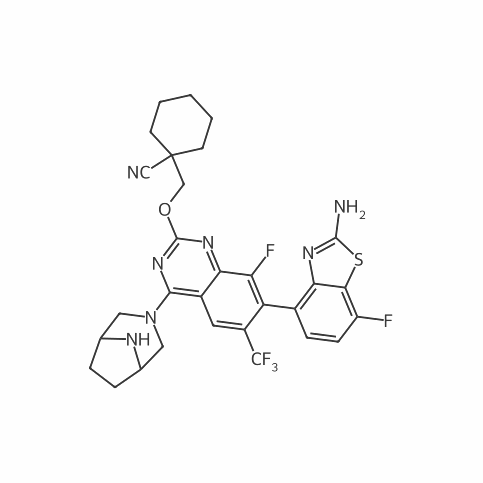 N#CC1(COc2nc(N3CC4CCC(C3)N4)c3cc(C(F)(F)F)c(-c4ccc(F)c5sc(N)nc45)c(F)c3n2)CCCCC1